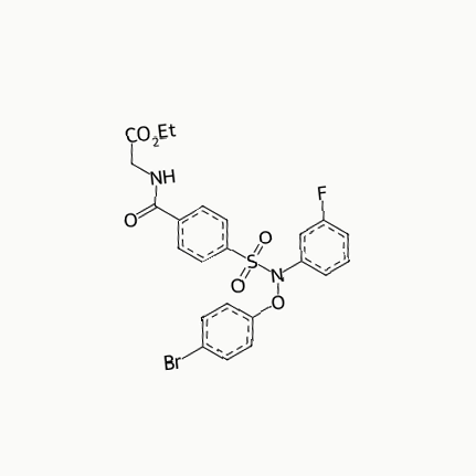 CCOC(=O)CNC(=O)c1ccc(S(=O)(=O)N(Oc2ccc(Br)cc2)c2cccc(F)c2)cc1